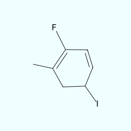 CC1=C(F)C=CC(I)C1